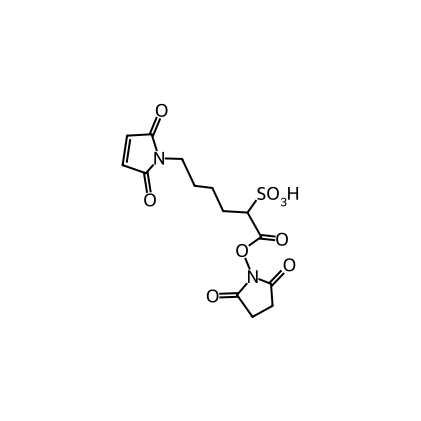 O=C(ON1C(=O)CCC1=O)C(CCCCN1C(=O)C=CC1=O)S(=O)(=O)O